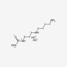 Cl.Cl.NCCCCNCCCNC(=O)C=O